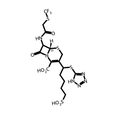 O=C(CSC(F)(F)F)NC1C(=O)N2C(C(=O)O)=C(C(CCCCS(=O)(=O)O)Sc3nnn[nH]3)CS[C@@H]12